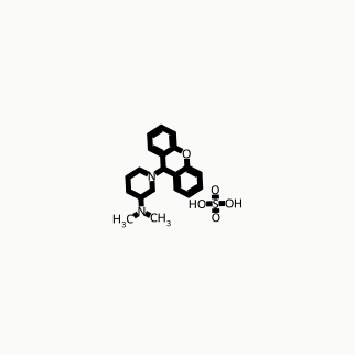 CN(C)C1CCCN(C2c3ccccc3Oc3ccccc32)C1.O=S(=O)(O)O